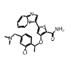 CC(Oc1cc(-c2cnc3ccccn23)sc1C(N)=O)c1ccc(CN(C)C)cc1Cl